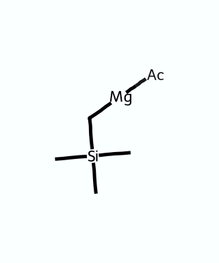 C[C](=O)[Mg][CH2][Si](C)(C)C